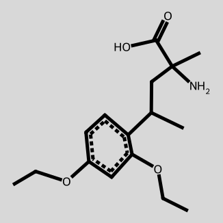 CCOc1ccc(C(C)CC(C)(N)C(=O)O)c(OCC)c1